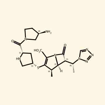 C[C@H]([C@H]1C(=O)N2C(C(=O)O)=C(S[C@@H]3CN[C@H](C(=O)N4CC[C@@H](N)C4)C3)[C@H](C)[C@H]12)n1cnnn1